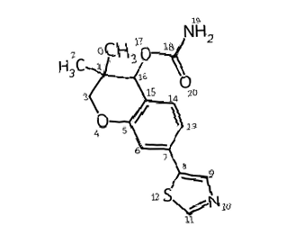 CC1(C)COc2cc(-c3cncs3)ccc2C1OC(N)=O